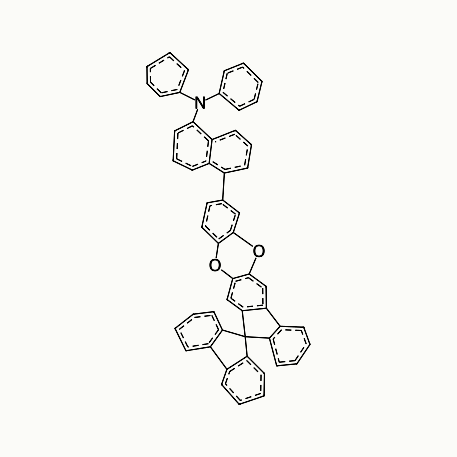 c1ccc(N(c2ccccc2)c2cccc3c(-c4ccc5c(c4)Oc4cc6c(cc4O5)C4(c5ccccc5-c5ccccc54)c4ccccc4-6)cccc23)cc1